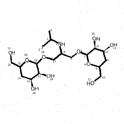 CC(I)NC(COC1OC(CO)C[C@H](O)[C@@H]1O)COC1OC(CO)C[C@H](O)[C@@H]1O